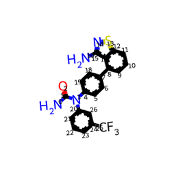 NC(=O)N(c1ccc(-c2cccc3snc(N)c23)cc1)c1cccc(C(F)(F)F)c1